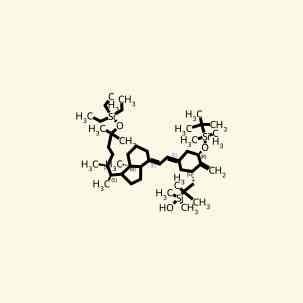 C=C1[C@H](CC(C)(C)[Si](C)(C)O)C/C(=C\C=C2/CCC[C@@]3(C)C2CCC3[C@@H](C)[C@@H](C)CCC(C)(C)O[Si](CC)(CC)CC)C[C@H]1O[Si](C)(C)C(C)(C)C